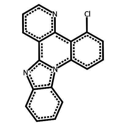 Clc1cccc2c1c1ncccc1c1nc3ccccc3n21